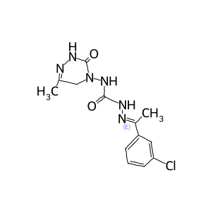 CC1=NNC(=O)N(NC(=O)N/N=C(\C)c2cccc(Cl)c2)C1